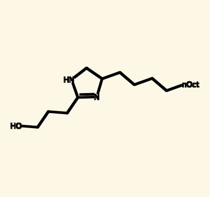 CCCCCCCCCCCCC1CNC(CCCO)=N1